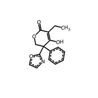 CCC1=C(O)C(c2ccccc2)(c2ncco2)COC1=O